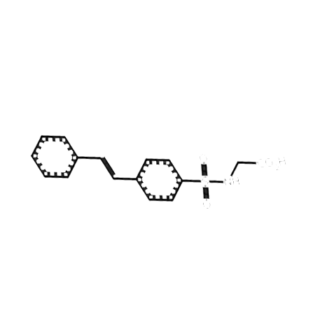 O=C(O)CNS(=O)(=O)c1ccc(/C=C/c2ccccc2)cc1